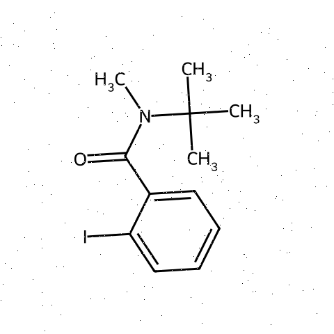 CN(C(=O)c1ccccc1I)C(C)(C)C